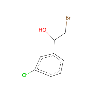 OC(CBr)c1cccc(Cl)c1